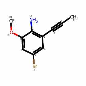 CC#Cc1cc(Br)cc(OC(F)(F)F)c1N